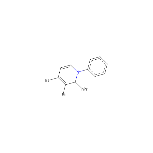 CCCC1C(CC)=C(CC)C=CN1c1ccccc1